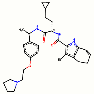 CCc1c(C(=O)N[C@@H](CCC2CC2)C(=O)NC(C)c2ccc(OCCN3CCCC3)cc2)[nH]c2c1CCC=C2